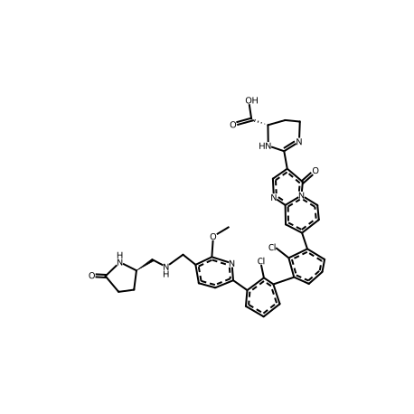 COc1nc(-c2cccc(-c3cccc(-c4ccn5c(=O)c(C6=NCC[C@@H](C(=O)O)N6)cnc5c4)c3Cl)c2Cl)ccc1CNC[C@H]1CCC(=O)N1